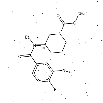 CCN(C(=O)c1ccc(F)c([N+](=O)[O-])c1)[C@@H]1CCCN(C(=O)OC(C)(C)C)C1